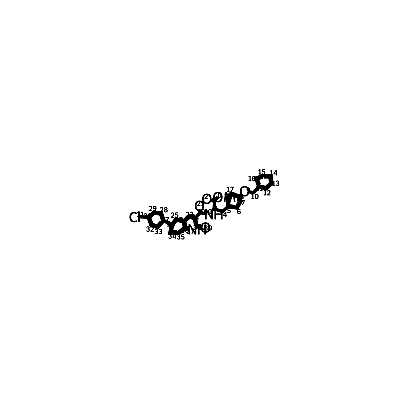 COC(=O)C(Cc1ccc(OCc2ccccc2)cc1)NC(=O)c1cc2cc(-c3ccc(Cl)cc3)ccc2[nH]c1=O